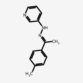 C/C(=N\Nc1cccnc1)c1ccc(C)cc1